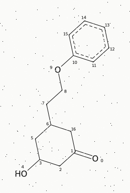 O=C1CC(O)CC(CCOc2ccccc2)C1